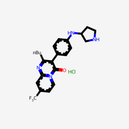 CCCCc1nc2cc(C(F)(F)F)ccn2c(=O)c1-c1ccc(NC2CCNC2)cc1.Cl